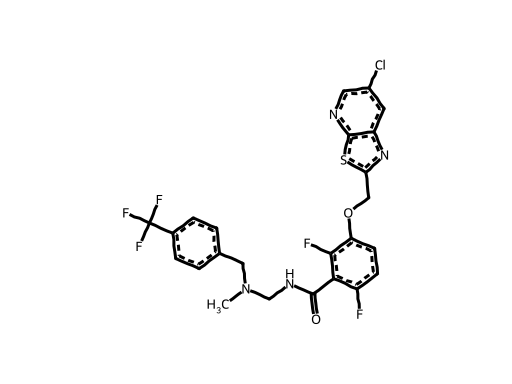 CN(CNC(=O)c1c(F)ccc(OCc2nc3cc(Cl)cnc3s2)c1F)Cc1ccc(C(F)(F)F)cc1